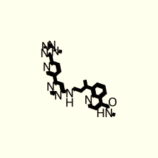 CNC(=O)c1ccnc2c(C(C)CCNc3cc(-c4ccc(-c5nnnn5C)nc4)ncn3)cccc12